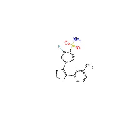 NS(=O)(=O)c1ccc(C2=C(c3cccc(C(F)(F)F)c3)CCC2)cc1F